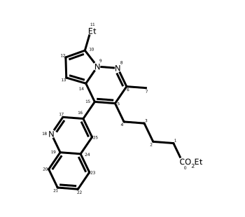 CCOC(=O)CCCCc1c(C)nn2c(CC)ccc2c1-c1cnc2ccccc2c1